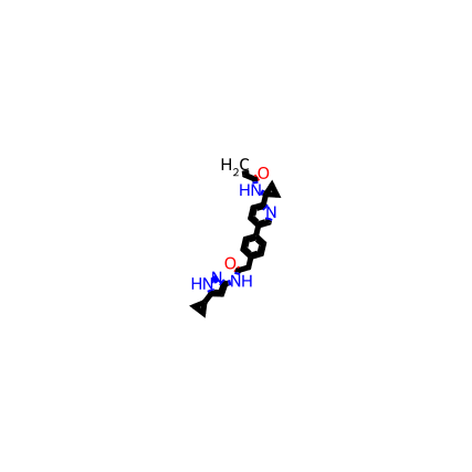 C=CC(=O)NC1(c2ccc(-c3ccc(CC(=O)Nc4cc(C5CC5)[nH]n4)cc3)cn2)CC1